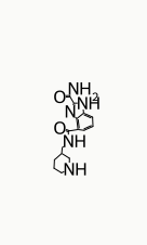 NC(=O)c1nc2c(C(=O)NCC3CCCNC3)cccc2[nH]1